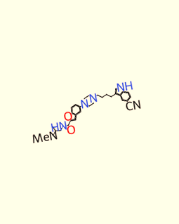 CNC(C)CNC(=O)c1cc2cc(N3CCN(CCCCc4c[nH]c5ccc(C#N)cc45)CC3)ccc2o1